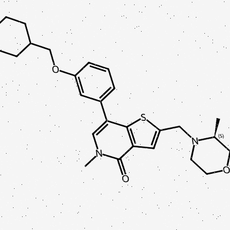 C[C@H]1COCCN1Cc1cc2c(=O)n(C)cc(-c3cccc(OCC4CCOCC4)c3)c2s1